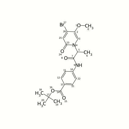 COc1cn(C(C)C(=O)Nc2ccc(C(=O)OC(C)(C)C)cc2)c(=O)cc1Br